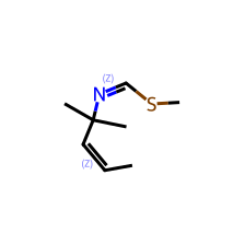 C/C=C\C(C)(C)/N=C\SC